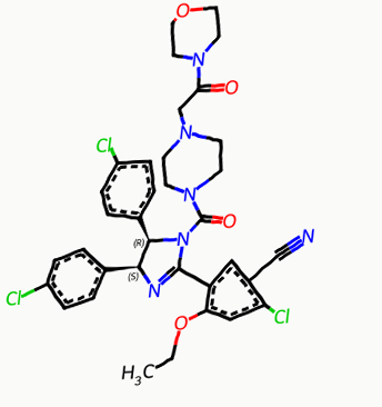 CCOc1cc(Cl)c(C#N)cc1C1=N[C@@H](c2ccc(Cl)cc2)[C@@H](c2ccc(Cl)cc2)N1C(=O)N1CCN(CC(=O)N2CCOCC2)CC1